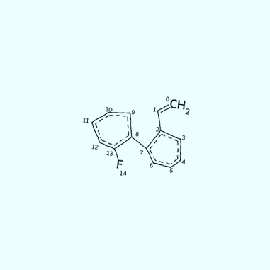 C=Cc1ccccc1-c1ccccc1F